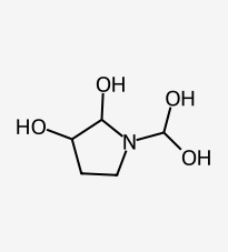 OC1CCN(C(O)O)C1O